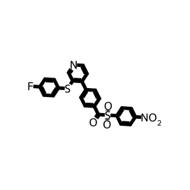 O=C(c1ccc(-c2ccncc2Sc2ccc(F)cc2)cc1)S(=O)(=O)c1ccc([N+](=O)[O-])cc1